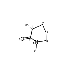 C[C@@H]1CCCN(C)C1=O